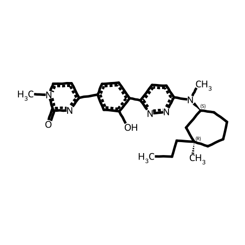 CCC[C@]1(C)CCCC[C@H](N(C)c2ccc(-c3ccc(-c4ccn(C)c(=O)n4)cc3O)nn2)C1